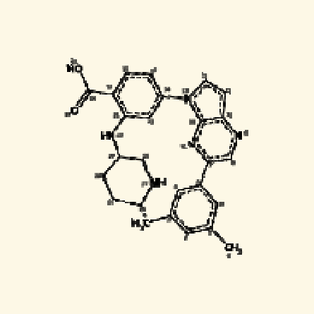 Cc1cc(C)cc(-c2cnc3ccn(-c4ccc(C(=O)O)c(NC5CCCNC5)c4)c3n2)c1